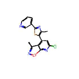 Cc1nc(-c2cccnc2)sc1-c1cc(Cl)nc2onc(C)c12